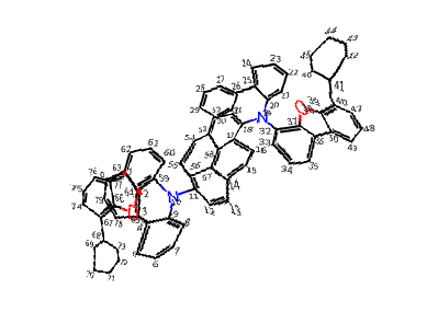 c1ccc(-c2ccccc2N(c2ccc3ccc4c(N(c5ccccc5-c5ccccc5)c5cccc6c5oc5c(C7CCCCC7)cccc56)ccc5ccc2c3c54)c2cccc3c2oc2c(C4CCCCC4)cccc23)cc1